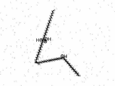 CCCCCCCCCCCCCCCCCCCCCCCCC(C(=O)O)[C@H](O)CCCCCCCCCCCCCCCC[C@H]1C[C@@H]1[C@@H](C)CCCCCCCCCCCCCCCCCC[C@@H](O)[C@H](C)CCCCCCCCCCCCCCCCCC